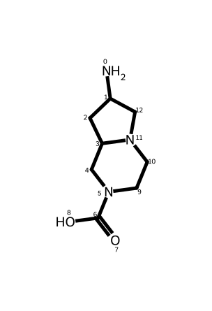 NC1CC2CN(C(=O)O)CCN2C1